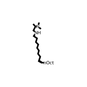 CCCCCCCC/C=C\CCCCCCCCNCC(C)N(C)C